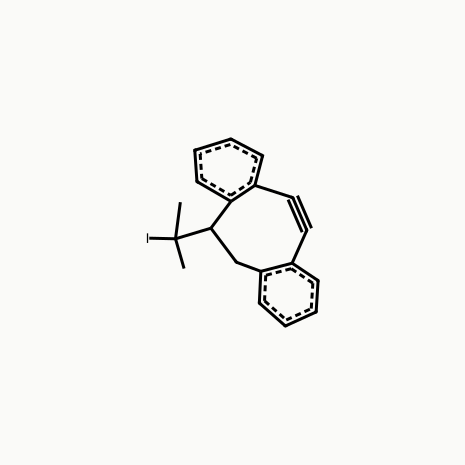 CC(C)(I)C1Cc2ccccc2C#Cc2ccccc21